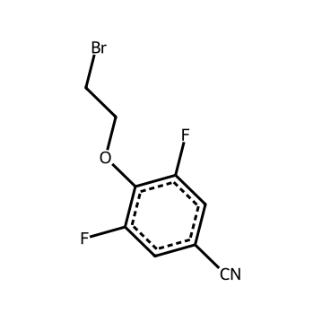 N#Cc1cc(F)c(OCCBr)c(F)c1